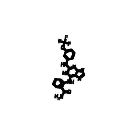 NC(=O)C1C2C=CC(C2)C1Nc1[nH]c(Nc2cccc(OC(F)(F)F)c2)nc2ncnc1-2